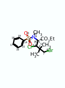 CCOC(=O)[C@H](C(Cl)C(C)(C)CBr)N(C)S(=O)(=O)c1ccccc1